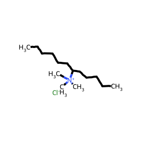 CCCCCCC(CCCCC)[N+](C)(C)C.[Cl-]